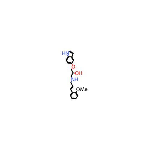 COc1ccccc1C=CCNCC(O)COc1ccc2[nH]ccc2c1